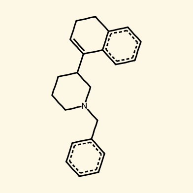 C1=C(C2CCCN(Cc3ccccc3)C2)c2ccccc2CC1